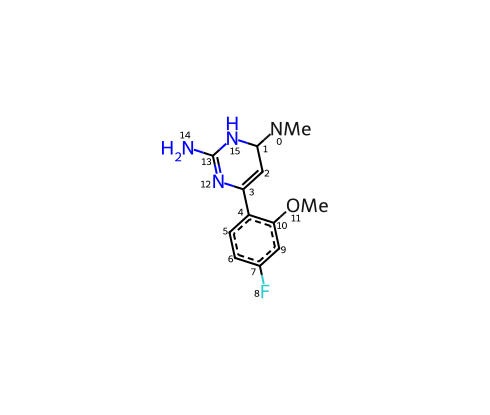 CNC1C=C(c2ccc(F)cc2OC)N=C(N)N1